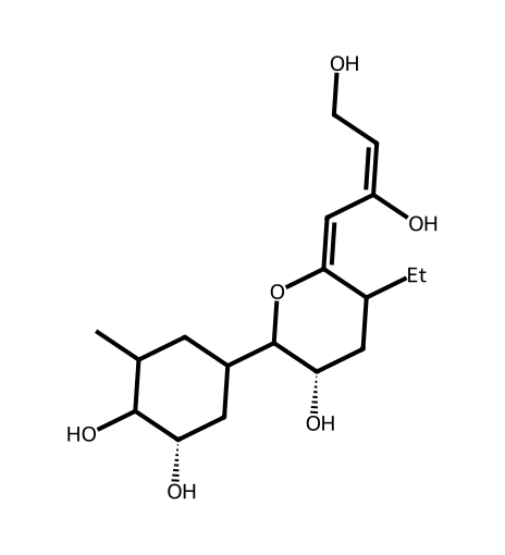 CCC1C[C@H](O)C(C2CC(C)C(O)[C@@H](O)C2)O/C1=C/C(O)=C\CO